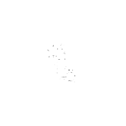 O=C(O)[C@@H]1CCCN1C(=O)CC1CCc2ccccc2C1